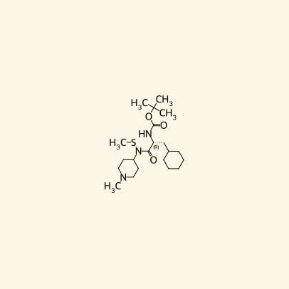 CSN(C(=O)[C@@H](CC1CCCCC1)NC(=O)OC(C)(C)C)C1CCN(C)CC1